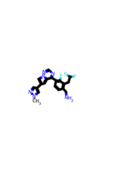 Cn1cc(-c2cc3c(-c4ccc(CN)c(CC(F)F)c4F)ncnn3c2)cn1